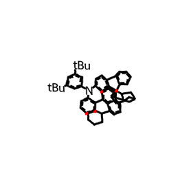 CC(C)(C)c1cc(N(c2ccc3c(c2)C2(c4ccccc4-3)C3CC4CC(C3)C2C4)c2ccccc2-c2cccc3cccc(C4CCCCC4)c23)cc(C(C)(C)C)c1